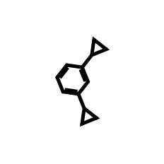 c1cc(C2CC2)cc(C2CC2)c1